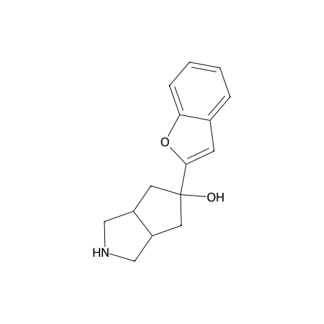 OC1(c2cc3ccccc3o2)CC2CNCC2C1